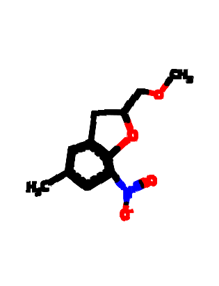 COCC1Cc2cc(C)cc([N+](=O)[O-])c2O1